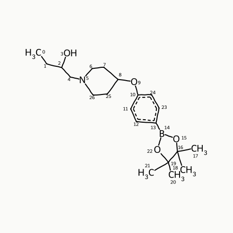 CCC(O)CN1CCC(Oc2ccc(B3OC(C)(C)C(C)(C)O3)cc2)CC1